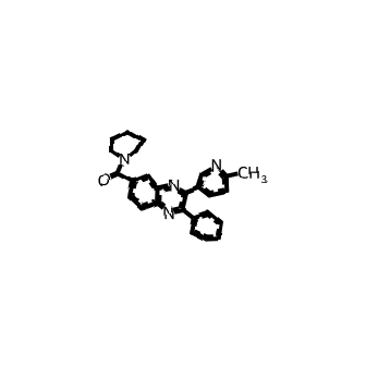 Cc1ccc(-c2nc3cc(C(=O)N4CCCCC4)ccc3nc2-c2ccccc2)cn1